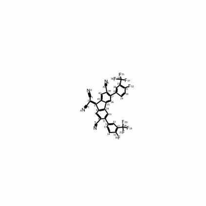 N#CC(C#N)=C1c2cc(C#N)c(-c3ccc(F)c(C(F)(F)F)c3)cc2-c2cc(-c3ccc(F)c(C(F)(F)F)c3)c(C#N)cc21